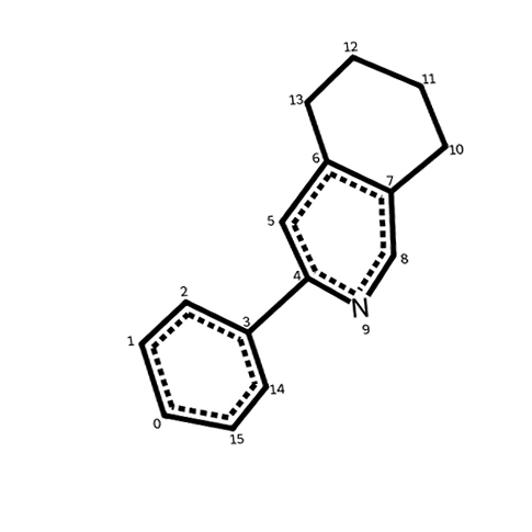 c1ccc(-c2cc3c(cn2)CCCC3)cc1